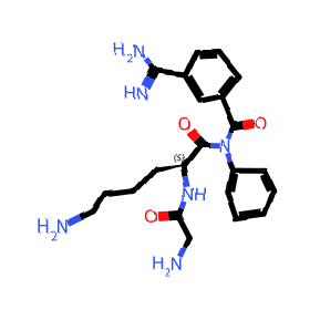 N=C(N)c1cccc(C(=O)N(C(=O)[C@H](CCCCN)NC(=O)CN)c2ccccc2)c1